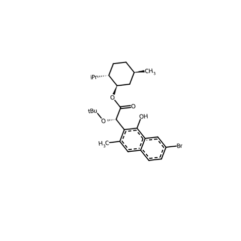 Cc1cc2ccc(Br)cc2c(O)c1[C@H](OC(C)(C)C)C(=O)O[C@@H]1C[C@H](C)CC[C@H]1C(C)C